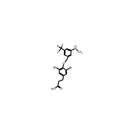 CNc1cc(COc2c(Br)cc(CCC(=O)O)cc2Br)cc(C(F)(F)F)c1